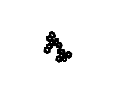 O=P(c1ccccc1)(c1ccccc1)c1ccc(-c2ccc3nc4c5c6ccccc6ccc5c5cc6ccccc6cc5n4c3c2)nc1